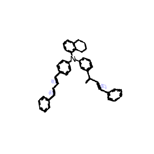 CC(/C=C/c1ccccc1)c1cccc(N(c2ccc(/C=C/C=C/c3ccccc3)cc2)c2cccc3c2CCCC3)c1